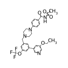 CCOc1cncc(-c2cc(CN3CCN(c4ccc(C(=O)NS(C)(=O)=O)cc4)CC3)cc(OC(F)(F)F)c2)c1